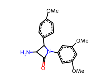 COc1ccc(C2C(N)C(=O)N2c2cc(OC)cc(OC)c2)cc1